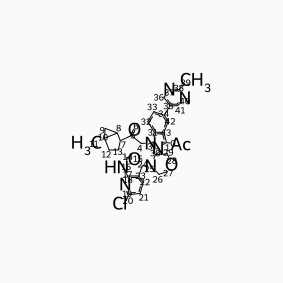 CC(=O)c1nn(CC(=O)C2C3C[C@]3(C)C[C@H]2C(=O)Nc2nc(Cl)ccc2CN2CCOCC2)c2ccc(-c3cnc(C)nc3)cc12